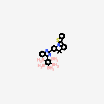 Bc1c(B)c(B)c(-c2nc(-c3ccc4c(c3)C(C)(C)c3cccc5c6c7ccccc7sc6n-4c35)nc3ccccc23)c(B)c1B